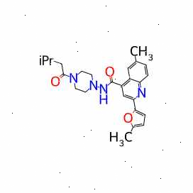 Cc1ccc2nc(-c3ccc(C)o3)cc(C(=O)NN3CCN(C(=O)CC(C)C)CC3)c2c1